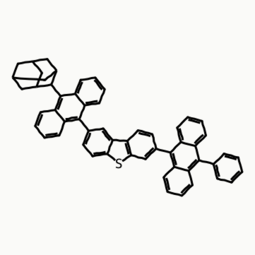 c1ccc(-c2c3ccccc3c(-c3ccc4c(c3)sc3ccc(-c5c6ccccc6c(C6C7CC8CC(C7)CC6C8)c6ccccc56)cc34)c3ccccc23)cc1